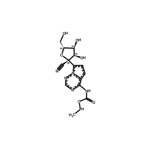 CPOC(=O)Nc1ncnn2c([C@]3(C#N)O[C@H](CO)[C@@H](O)[C@H]3O)ccc12